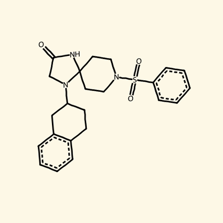 O=C1CN(C2CCc3ccccc3C2)C2(CCN(S(=O)(=O)c3ccccc3)CC2)N1